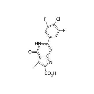 Cc1c(C(=O)O)nn2cc(-c3cc(F)c(Cl)c(F)c3)[nH]c(=O)c12